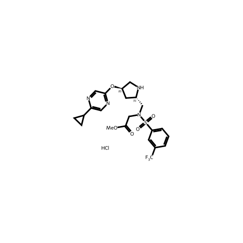 COC(=O)CN(C[C@@H]1C[C@@H](Oc2cnc(C3CC3)cn2)CN1)S(=O)(=O)c1cccc(C(F)(F)F)c1.Cl